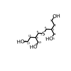 OCCC(CO)CSCC(CO)CCO